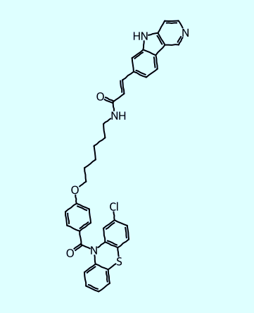 O=C(C=Cc1ccc2c(c1)[nH]c1ccncc12)NCCCCCCOc1ccc(C(=O)N2c3ccccc3Sc3ccc(Cl)cc32)cc1